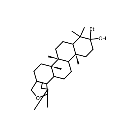 CCC1(O)CC[C@@]2(C)C(CC[C@]3(C)C2CCC2C4C5OCC4(CCC5(C)C)CC[C@@]23C)C1(C)C